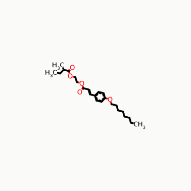 CCCCCCCCOc1ccc(/C=C/C(=O)OCCOC(=O)C(C)CC)cc1